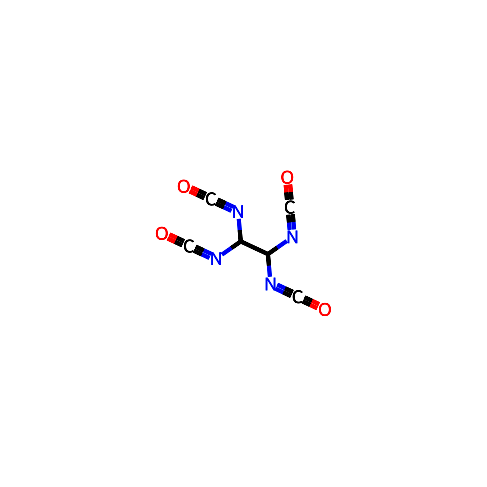 O=C=NC(N=C=O)C(N=C=O)N=C=O